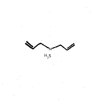 C=CC[N]CC=C.S